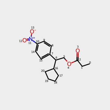 CCC(=O)OCC(c1ccc([N+](=O)[O-])cc1)C1CCCC1